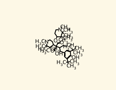 CCCC(Cc1cc(C(C)(C)C)c(O)c(C(C)(C)C)c1)C(C(=O)O)(C(=O)OC1CCN(C)C(C)(C)C1(C)C)C1CCN(C)C(C)(C)C1(C)C